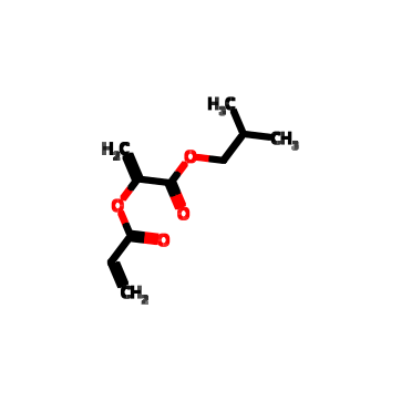 C=CC(=O)OC(=C)C(=O)OCC(C)C